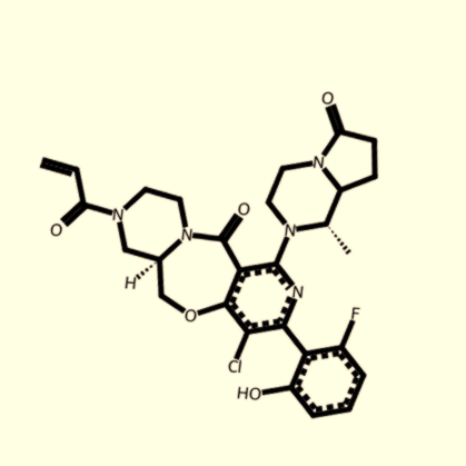 C=CC(=O)N1CCN2C(=O)c3c(N4CCN5C(=O)CCC5[C@@H]4C)nc(-c4c(O)cccc4F)c(Cl)c3OC[C@H]2C1